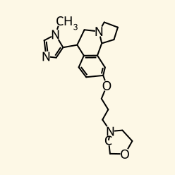 Cn1cncc1C1CN2CCCC2c2cc(OCCCN3CCOCC3)ccc21